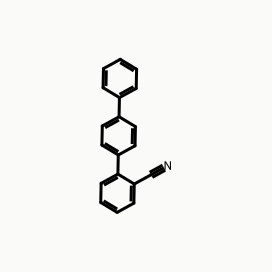 N#Cc1ccccc1-c1ccc(-c2ccccc2)cc1